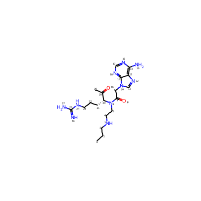 CCCNCCN(C(=O)Cn1cnc2c(N)ncnc21)[C@H](CCCNC(=N)N)C(C)=O